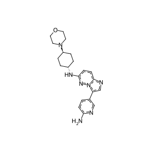 Nc1ccc(-c2cnc3ccc(N[C@H]4CC[C@H](N5CCOCC5)CC4)nn23)cn1